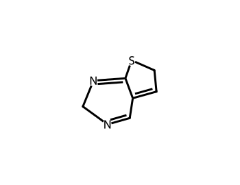 C1=NCN=C2SCC=C12